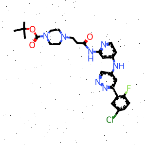 CC(C)(C)OC(=O)N1CCN(CCC(=O)Nc2cc(Nc3cnnc(-c4cc(Cl)ccc4F)c3)ccn2)CC1